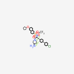 N[C@@H]1CCN(C(=O)[C@@H](N(OC(=O)C(F)(F)F)S(=O)(=O)c2ccc3cc(OC4CCCC4)ccc3c2)C(F)(F)c2ccc(-c3ccc(Cl)cc3)cc2)CC1(F)F